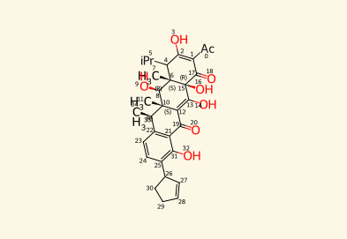 CC(=O)C1=C(O)C(C(C)C)[C@@]2(C)[C@H](O)[C@]3(C)C(=C(O)[C@@]2(O)C1=O)C(=O)c1c(ccc(C2C=CCC2)c1O)[C@H]3C